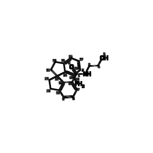 O=C(NCCO)c1cccc2c1C1(CCc3cccc(P)c31)CC2